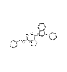 O=C(OCc1ccccc1)N1CCC[C@@H]1C(=O)n1cc(-c2ccccc2)c2ccccc21